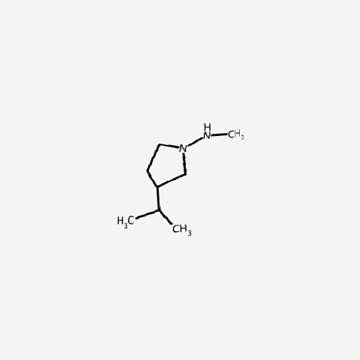 CNN1CCC(C(C)C)C1